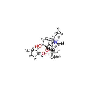 CO[C@]12CC[C@@]3(C[C@@H]1COCc1ccc(C)cc1)[C@H]1Cc4ccc(O)c5c4[C@@]3(CC[N@+]1(C)CC1CC1)[C@H]2O5